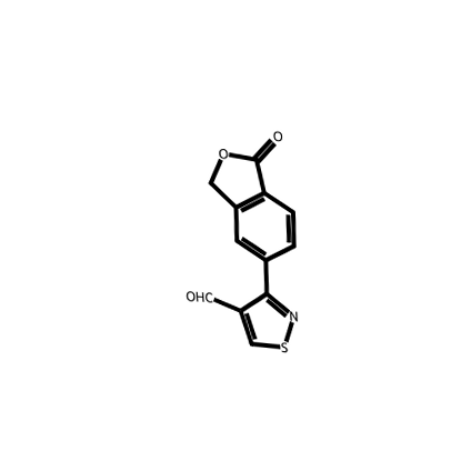 O=Cc1csnc1-c1ccc2c(c1)COC2=O